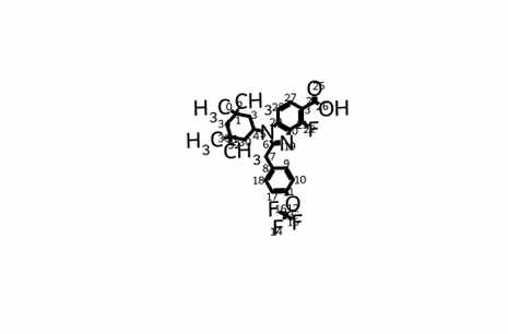 CC1(C)CC(n2c(Cc3ccc(OC(F)(F)F)cc3)nc3c(F)c(C(=O)O)ccc32)CC(C)(C)C1